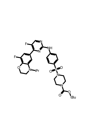 CC(C)N1CCOc2c(F)cc(-c3nc(Nc4ccc(S(=O)(=O)N5CCN(C(=O)OC(C)(C)C)CC5)cc4)ncc3F)cc21